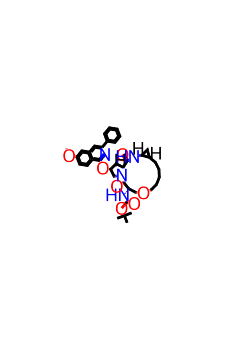 COc1ccc2c(O[C@@H]3C[C@H]4C(=O)N[C@@H]5C[C@H]5CCCCCOC[C@H](NC(=O)OC(C)(C)C)C(=O)N4C3)nc(-c3ccccc3)cc2c1